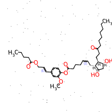 CCCCCCCC(=O)CC[C@@H]1[C@@H](C/C=C\CCCC(=O)Oc2ccc(/C=C/COC(=O)CCCC)cc2OC)[C@@H](O)C[C@H]1O